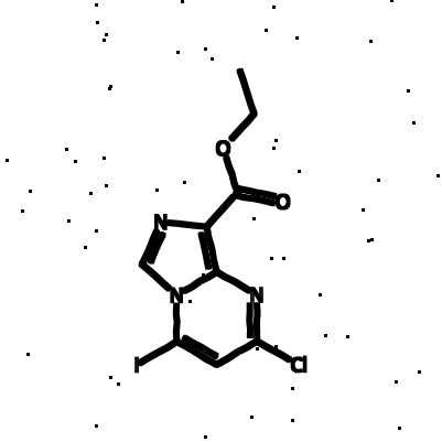 CCOC(=O)c1ncn2c(I)cc(Cl)nc12